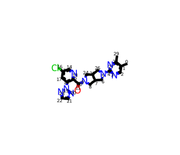 Cc1cnc(N2CC3CN(C(=O)c4ncc(Cl)cc4-n4nccn4)CC3C2)nc1C